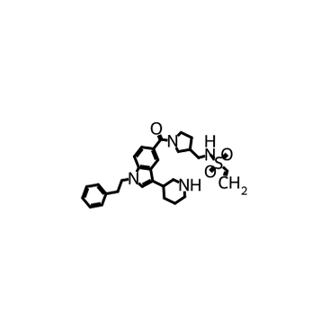 C=CS(=O)(=O)NCC1CCN(C(=O)c2ccc3c(c2)c(C2CCCNC2)cn3CCc2ccccc2)C1